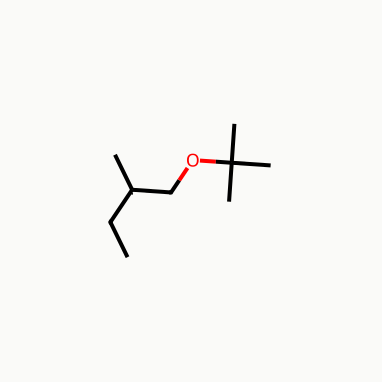 CC[C](C)COC(C)(C)C